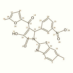 Cc1ccc2nc(N3C(=O)C(O)=C(C(=O)c4ccc(C)o4)C3c3cccc([N+](=O)[O-])c3)sc2c1